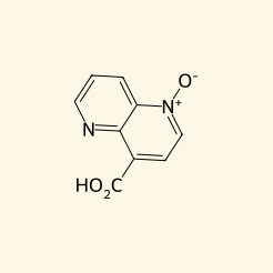 O=C(O)c1cc[n+]([O-])c2cccnc12